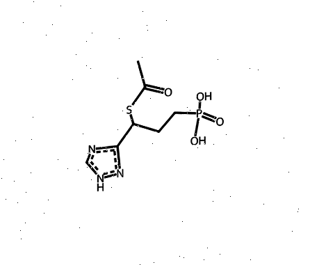 CC(=O)SC(CCP(=O)(O)O)c1nc[nH]n1